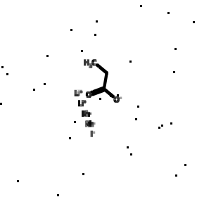 CCC(=O)[O-].[I-].[Li+].[Li+].[Rh].[Rh]